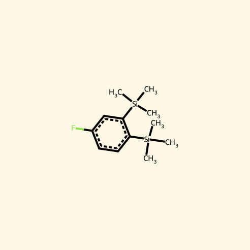 C[Si](C)(C)c1ccc(F)cc1[Si](C)(C)C